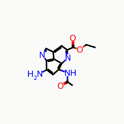 CCOC(=O)c1cc2c3c(c(N)cc(NC(C)=O)c3n1)N=C2